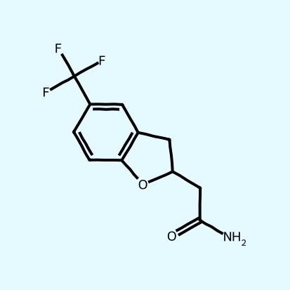 NC(=O)CC1Cc2cc(C(F)(F)F)ccc2O1